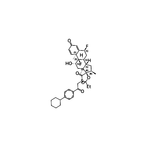 CCC(=O)O[C@]1(C(=O)SCC(=O)c2ccc(C3CCCCC3)cc2)[C@H](C)C[C@H]2[C@@H]3C[C@H](F)C4=CC(=O)C=C[C@]4(C)[C@@]3(F)[C@@H](O)C[C@@]21C